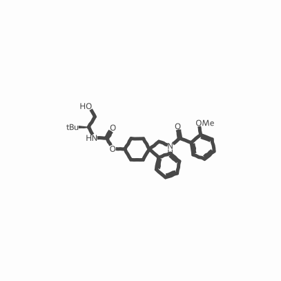 COc1ccccc1C(=O)NCC1(c2ccccc2)CCC(OC(=O)N[C@H](CO)C(C)(C)C)CC1